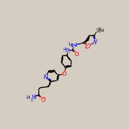 CC(C)(C)c1cc(NC(=O)Nc2ccc(Oc3ccnc(CCC(N)=O)c3)cc2)on1